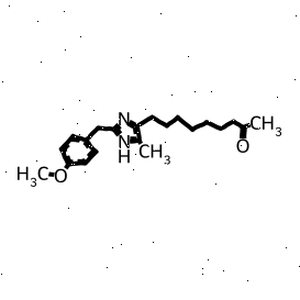 COc1ccc(Cc2nc(CCCCCCCC(C)=O)c(C)[nH]2)cc1